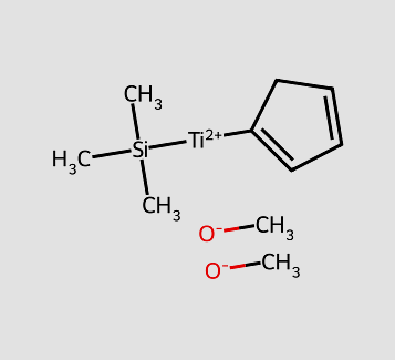 C[O-].C[O-].C[Si](C)(C)[Ti+2][C]1=CC=CC1